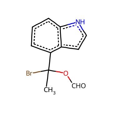 CC(Br)(OC=O)c1cccc2[nH]ccc12